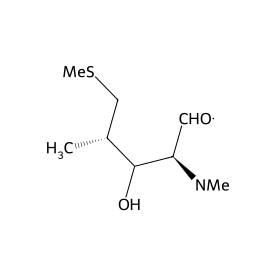 CN[C@H]([C]=O)C(O)[C@H](C)CSC